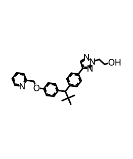 CC(C)(C)C(c1ccc(OCc2ccccn2)cc1)c1ccc(-c2cnn(CCO)n2)cc1